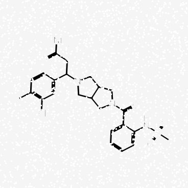 Cc1ccc(C(CC(N)=O)N2CC3CN(C(=O)c4ccccc4NS(C)(=O)=O)CC3C2)cc1Cl